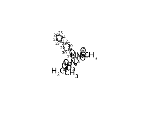 CC(C)(C)OC(=O)N1CC[C@@H](NS(C)(=O)=O)[C@H]1CO[C@H]1CC[C@@H](c2ccccc2)CC1